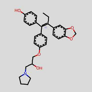 CC/C(=C(\c1ccc(O)cc1)c1ccc(OCC(O)CN2CCCC2)cc1)c1ccc2c(c1)OCO2